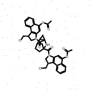 CC(=O)Oc1cc2c(c3ccccc13)C(CCl)CN2C(=O)C12CCC(C1)C1CC1(C(=O)N1CC(CCl)c3c1cc(OC(C)=O)c1ccccc31)N2